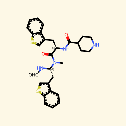 CN(C(=O)[C@@H](Cc1csc2ccccc12)NC(=O)C1CCNCC1)[C@H](Cc1csc2ccccc12)NC=O